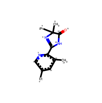 CCc1cnc(C2=NC(C)(C(C)C)C(=O)N2)c(C)c1